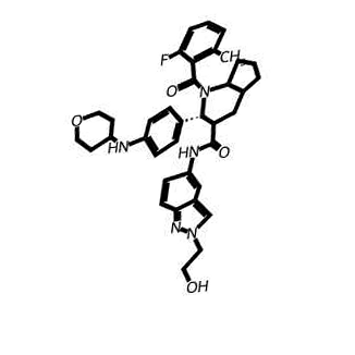 Cc1cccc(F)c1C(=O)N1C2CCCC2CC(C(=O)Nc2ccc3nn(CCO)cc3c2)[C@@H]1c1ccc(NC2CCOCC2)cc1